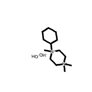 C[N+]1(C)CC[N+](C)(C2CCCCC2)CC1.[OH-].[OH-]